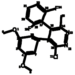 COc1cc(OC)cc(-c2c(Cl)nnc(C)c2-c2c(F)cccc2F)c1